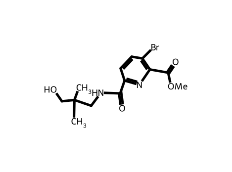 COC(=O)c1nc(C(=O)NCC(C)(C)CO)ccc1Br